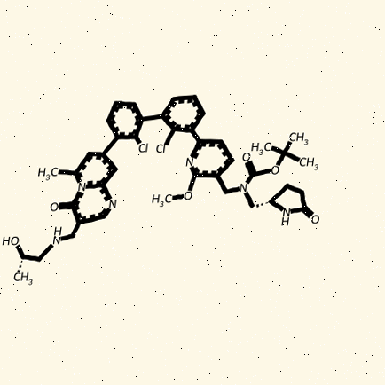 COc1nc(-c2cccc(-c3cccc(-c4cc(C)n5c(=O)c(CNC[C@H](C)O)cnc5c4)c3Cl)c2Cl)ccc1CN(C[C@@H]1CCC(=O)N1)C(=O)OC(C)(C)C